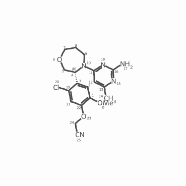 COc1cc([C@@H]2COCCCN2c2cc(C)nc(N)n2)c(Cl)cc1OCC#N